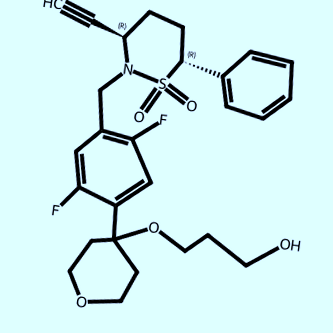 C#C[C@H]1CC[C@H](c2ccccc2)S(=O)(=O)N1Cc1cc(F)c(C2(OCCCO)CCOCC2)cc1F